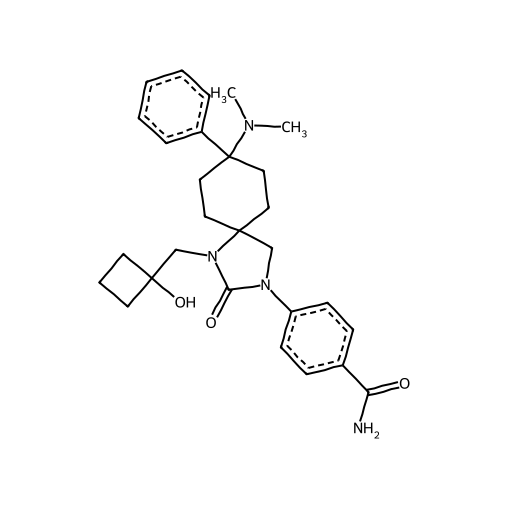 CN(C)C1(c2ccccc2)CCC2(CC1)CN(c1ccc(C(N)=O)cc1)C(=O)N2CC1(O)CCC1